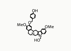 COc1ccc2c(c1)c1c(n2CO)CN2CCc3cc(OC)c(OCc4ccc(O)cc4)cc3C2C1